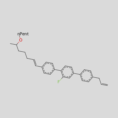 C=CCc1ccc(-c2ccc(-c3ccc(C=CCCCC(C)OCCCCC)cc3)c(F)c2)cc1